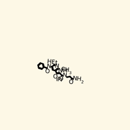 CCc1nc2c(cc1NC(=O)c1ccccc1)c(OC(C)C)c(C(=O)NCCC(N)=O)n2C